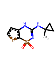 CC1(NC2=NS(=O)(=O)c3sccc3N2)CC1